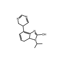 CC(C)N1C(O)=NC2=C(C3C=NC=NC3)C=CCC21